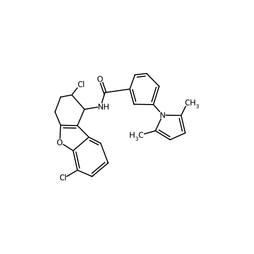 Cc1ccc(C)n1-c1cccc(C(=O)NC2c3c(oc4c(Cl)cccc34)CCC2Cl)c1